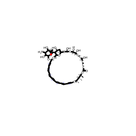 CC1OC(O[C@H]2/C=C/C=C/C=C/C=C/C=C/C=C/C=C/C[C@@H](C)[C@@H](C)[C@H](C)OC(=O)CCC[C@H](O)CC[C@@H](O)[C@H](O)C[C@H](O)C[C@]3(O)C[C@H](O)C(C(=O)O)[C@H](C2)O3)C(O)C(N)C1O